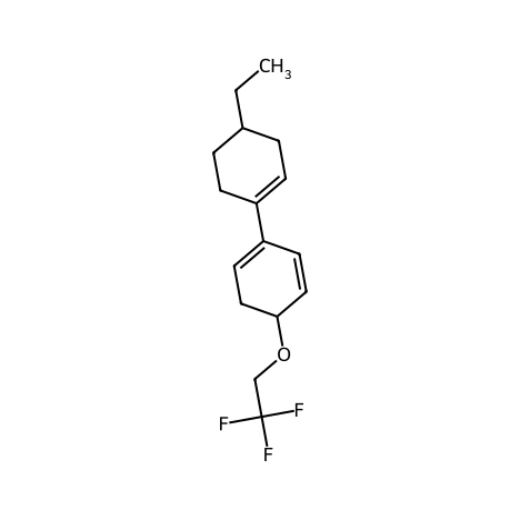 CCC1CC=C(C2=CCC(OCC(F)(F)F)C=C2)CC1